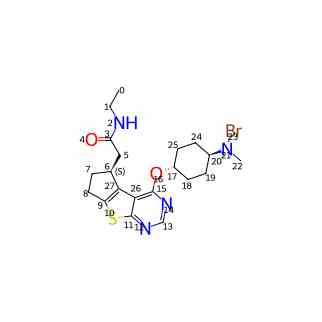 CCNC(=O)C[C@@H]1CCc2sc3ncnc(O[C@H]4CC[C@H](N(C)Br)CC4)c3c21